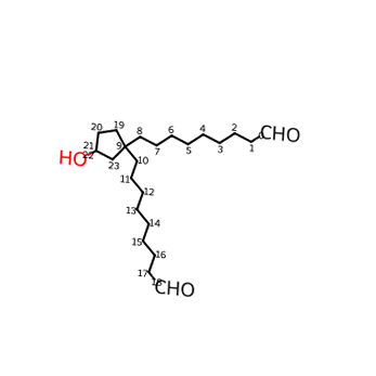 O=CCCCCCCCCC1(CCCCCCCCC=O)CCC(O)C1